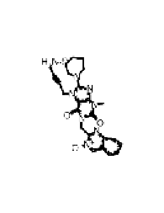 CC#CCn1c(N2CCC[C@@H](N)C2)nc2c1c(=O)n(Cc1nc3ccccc3c[n+]1[O-])c(=O)n2C